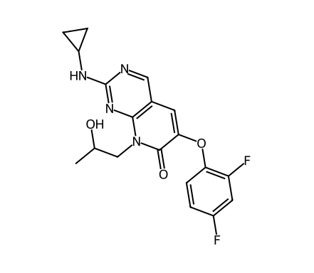 CC(O)Cn1c(=O)c(Oc2ccc(F)cc2F)cc2cnc(NC3CC3)nc21